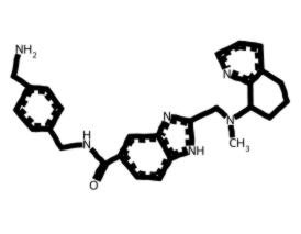 CN(Cc1nc2cc(C(=O)NCc3ccc(CN)cc3)ccc2[nH]1)C1CCCc2cccnc21